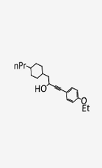 CCCC1CCC(CC(O)C#Cc2ccc(OCC)cc2)CC1